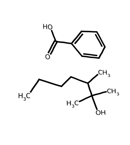 CCCCC(C)C(C)(C)O.O=C(O)c1ccccc1